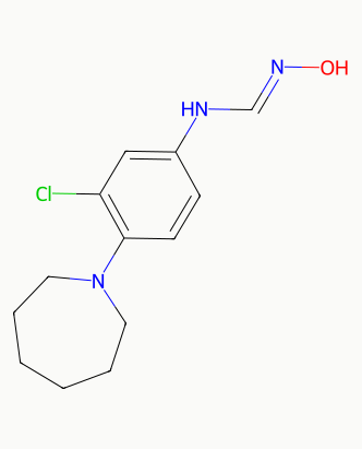 O/N=C/Nc1ccc(N2CCCCCC2)c(Cl)c1